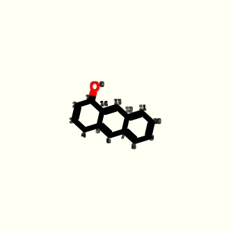 O=C1C=CCc2cc3ccccc3cc21